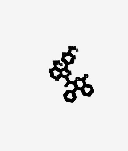 CC(c1oc(=O)c2ccccc2c1-c1ccccc1)n1nc(-c2cnc(N)nc2)c2c(N)ncnc21